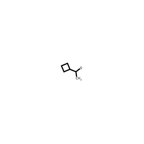 CC([S])C1CCC1